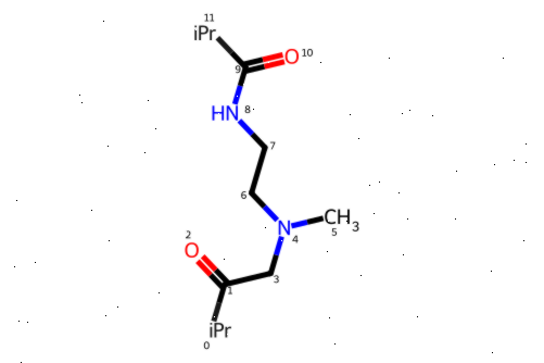 CC(C)C(=O)CN(C)CCNC(=O)C(C)C